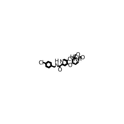 O=C(NCc1ccc(Cl)cc1)c1cc(O[C@H]2CCN3C(=O)OC[C@@H]3C2)c(C(=O)O)cn1